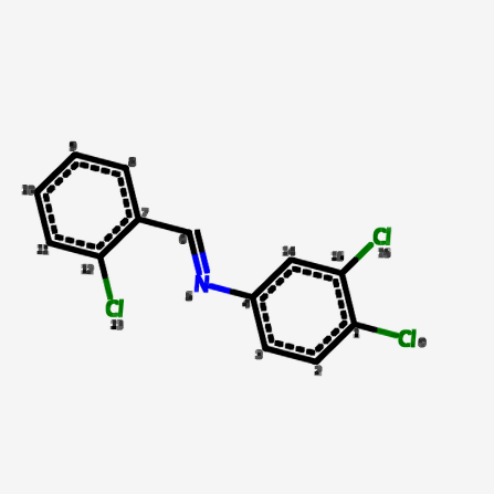 Clc1ccc(N=Cc2ccccc2Cl)cc1Cl